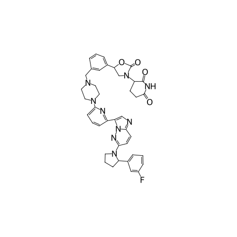 O=C1CCC(N2CC(c3cccc(CN4CCN(c5cccc(-c6cnc7ccc(N8CCCC8c8cccc(F)c8)nn67)n5)CC4)c3)OC2=O)C(=O)N1